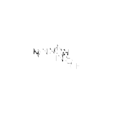 Cc1c([C@@H](C)Nc2nnc(C)c3ncc(N4CCN(c5cnn(C)c5)CC4)cc23)cccc1C(F)(F)F